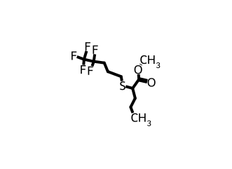 CCCC(SCCCC(F)(F)C(F)(F)F)C(=O)OC